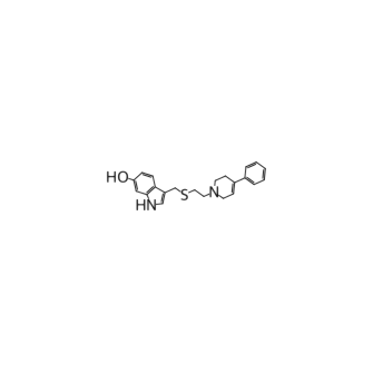 Oc1ccc2c(CSCCN3CC=C(c4ccccc4)CC3)c[nH]c2c1